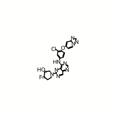 O[C@H]1CN(c2ncc3ncnc(Nc4ccc(Oc5ccn6ncnc6c5)c(Cl)c4)c3n2)CC[C@@H]1F